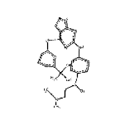 CN(C)CCN(C)c1ccc(Nc2nc(Nc3cccc(C(C)(C)O)n3)c3ccsc3n2)cc1